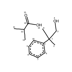 CC(C)(CO)c1ccccc1.CC(C)C(=O)O